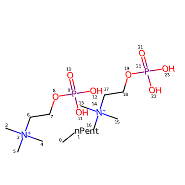 CCCCCC.C[N+](C)(C)CCOP(=O)(O)O.C[N+](C)(C)CCOP(=O)(O)O